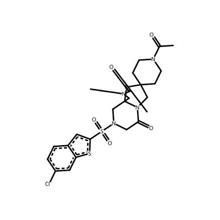 CC(=O)N1CCC2(CC1)CN1C(=O)CN(S(=O)(=O)c3cc4ccc(Cl)cc4s3)CC13CN(C)C(=O)N23